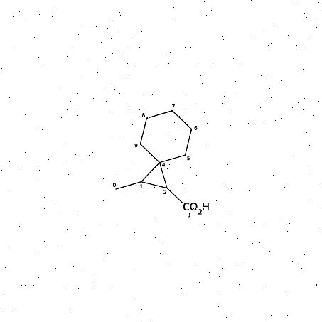 CC1C(C(=O)O)C12CCCCC2